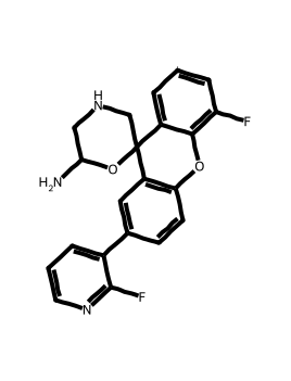 NC1CNCC2(O1)c1cc(-c3cccnc3F)ccc1Oc1c(F)c[c]cc12